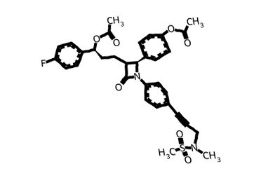 CC(=O)Oc1ccc([C@@H]2C(CC[C@H](OC(C)=O)c3ccc(F)cc3)C(=O)N2c2ccc(C#CCN(C)S(C)(=O)=O)cc2)cc1